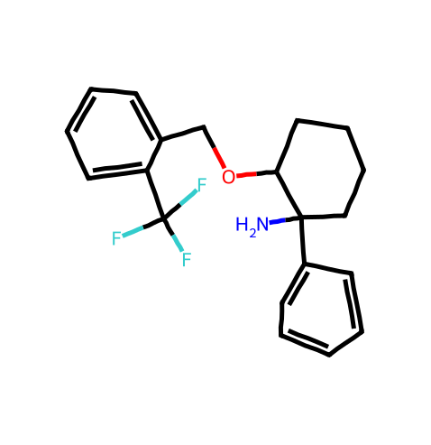 NC1(c2ccccc2)CCCCC1OCc1ccccc1C(F)(F)F